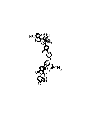 CN(C)C[C@H]1CN(c2ccc3c(c2)C(=O)N(C2CCC(=O)NC2=O)C3=O)CCN1CC1CCN(c2ccc(C(=O)NC3C(C)(C)[C@@H]4Oc5ccc(C#N)c6nccc(c56)C34C)cc2F)CC1